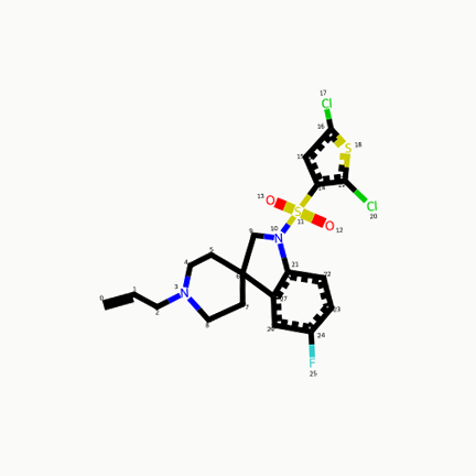 C=CCN1CCC2(CC1)CN(S(=O)(=O)c1cc(Cl)sc1Cl)c1ccc(F)cc12